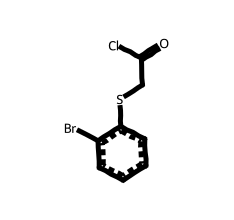 O=C(Cl)CSc1ccccc1Br